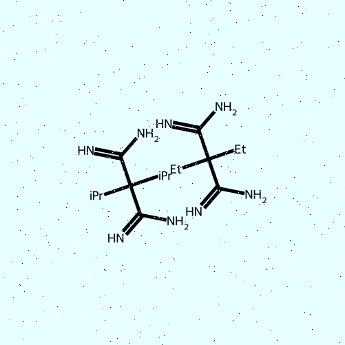 CC(C)C(C(=N)N)(C(=N)N)C(C)C.CCC(CC)(C(=N)N)C(=N)N